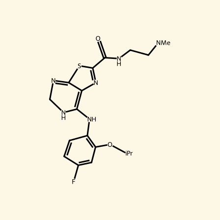 CNCCNC(=O)c1nc2c(s1)=NCNC=2Nc1ccc(F)cc1OC(C)C